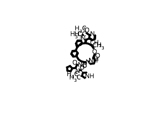 CCn1c(-c2cccnc2[C@H](C)OC)c2c3cc(ccc31)-c1cccc(c1)C[C@H](NC(=O)[C@H](C1CCCC1)N(C)C(=O)[C@H]1CNC[C@H]1C)C(=O)N1CCC[C@H](N1)C(=O)OCC(C)(C)C2